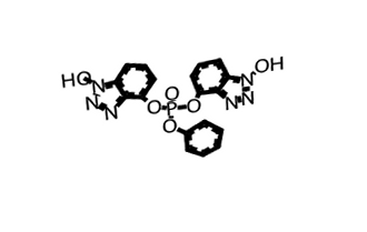 O=P(Oc1ccccc1)(Oc1cccc2c1nnn2O)Oc1cccc2c1nnn2O